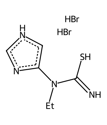 Br.Br.CCN(C(=N)S)c1c[nH]cn1